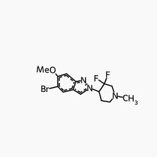 COc1cc2nn(C3CCN(C)CC3(F)F)cc2cc1Br